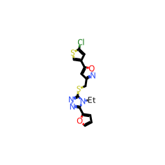 CCn1c(SCc2cc(-c3csc(Cl)c3)on2)nnc1-c1ccco1